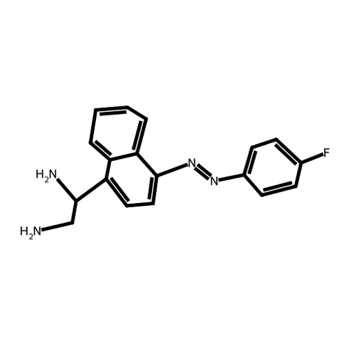 NCC(N)c1ccc(N=Nc2ccc(F)cc2)c2ccccc12